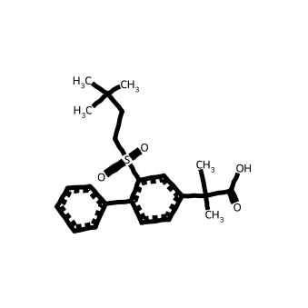 CC(C)(C)CCS(=O)(=O)c1cc(C(C)(C)C(=O)O)ccc1-c1ccccc1